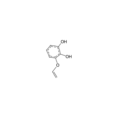 C=COc1cccc(O)c1O